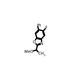 COC(C)c1nc2cc(F)c(C(C)C)cc2o1